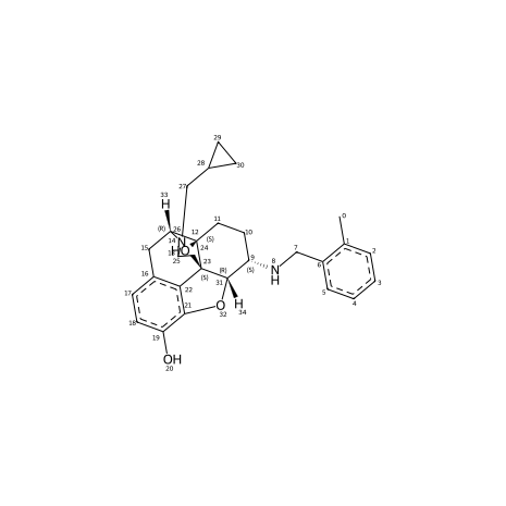 Cc1ccccc1CN[C@H]1CC[C@@]2(O)[C@H]3Cc4ccc(O)c5c4[C@@]2(CCN3CC2CC2)[C@H]1O5